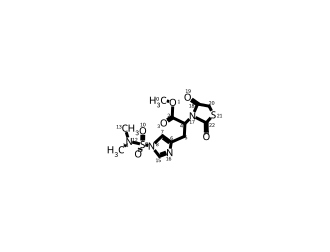 COC(=O)C(Cc1cn(S(=O)(=O)N(C)C)cn1)N1C(=O)CSC1=O